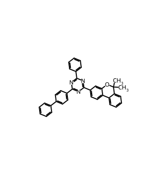 CC1(C)Oc2cc(-c3nc(-c4ccccc4)nc(-c4ccc(-c5ccccc5)cc4)n3)ccc2-c2ccccc21